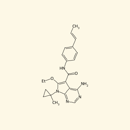 C/C=C/c1ccc(NC(=O)c2c(OCC)n(C3(C)CC3)c3ncnc(N)c23)cc1